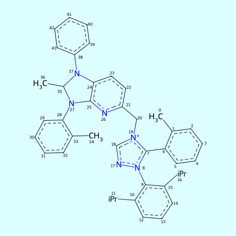 Cc1ccccc1-c1n(-c2c(C(C)C)cccc2C(C)C)nc[n+]1Cc1ccc2c(n1)N(c1ccccc1C)C(C)N2c1ccccc1